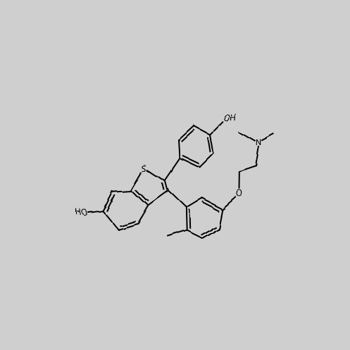 Cc1ccc(OCCN(C)C)cc1-c1c(-c2ccc(O)cc2)sc2cc(O)ccc12